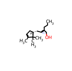 CCC/C(=C\C[C@H]1CC=C(C)C1(C)C)CO